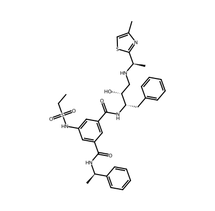 CCS(=O)(=O)Nc1cc(C(=O)N[C@@H](Cc2ccccc2)[C@H](O)CN[C@H](C)c2nc(C)cs2)cc(C(=O)N[C@H](C)c2ccccc2)c1